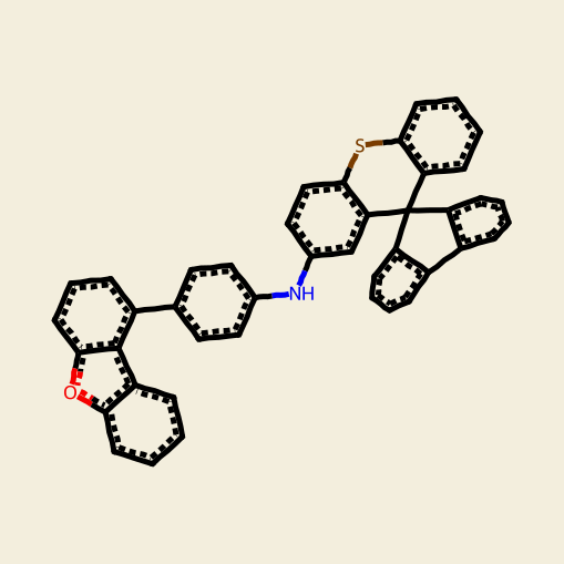 c1ccc2c(c1)Sc1ccc(Nc3ccc(-c4cccc5oc6ccccc6c45)cc3)cc1C21c2ccccc2-c2ccccc21